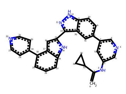 C=C(Nc1cncc(-c2ccc3[nH]nc(-c4cc5c(-c6ccncc6)cccc5[nH]4)c3c2)c1)C1CC1